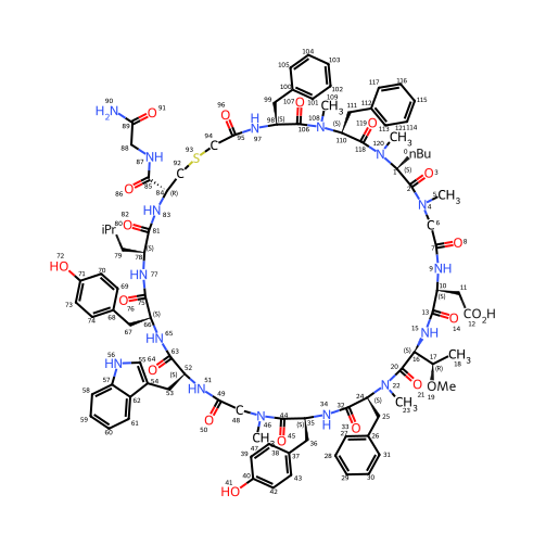 CCCC[C@H]1C(=O)N(C)CC(=O)N[C@@H](CC(=O)O)C(=O)N[C@@H]([C@@H](C)OC)C(=O)N(C)[C@@H](Cc2ccccc2)C(=O)N[C@@H](Cc2ccc(O)cc2)C(=O)N(C)CC(=O)N[C@@H](Cc2c[nH]c3ccccc23)C(=O)N[C@@H](Cc2ccc(O)cc2)C(=O)N[C@@H](CC(C)C)C(=O)N[C@H](C(=O)NCC(N)=O)CSCC(=O)N[C@@H](Cc2ccccc2)C(=O)N(C)[C@@H](Cc2ccccc2)C(=O)N1C